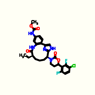 CC[C@@H]1CCC[C@H](N2CCC(c3c(F)ccc(Cl)c3F)OC2=O)c2nc(c[nH]2)-c2ccc(NC(=O)OC)cc2NC1=O